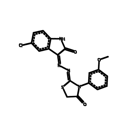 COc1cccc(N2C(=O)CSC2=NN=C2C(=O)Nc3ccc(Cl)cc32)c1